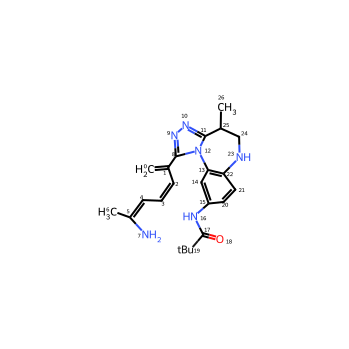 C=C(/C=C\C=C(\C)N)c1nnc2n1-c1cc(NC(=O)C(C)(C)C)ccc1NCC2C